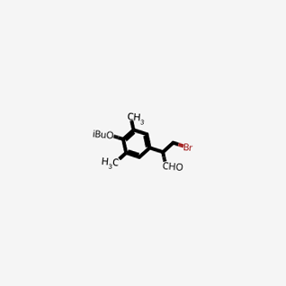 Cc1cc(C(C=O)CBr)cc(C)c1OCC(C)C